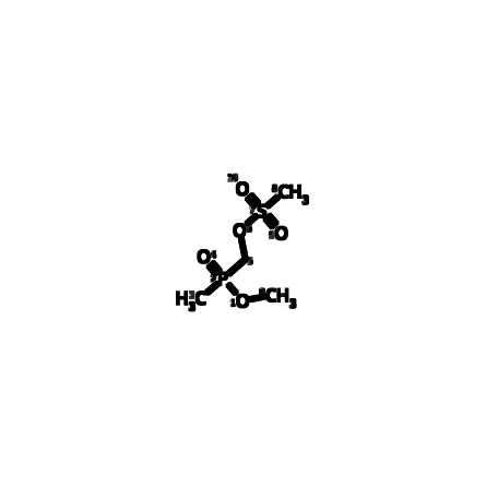 COP(C)(=O)COS(C)(=O)=O